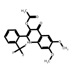 COc1cc2[nH]c(-c3ccccc3C(F)(F)F)c(OC(C)=O)c(=O)c2cc1OC